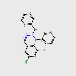 Clc1cc(Cl)cc(/C=N\N(Cc2ccccc2)Cc2ccccc2)c1